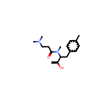 C=C(O)C(Cc1ccc(C)cc1)N(C)C(=O)CCN(C)C